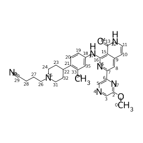 COc1cncc(-c2cc3cc[nH]c(=O)c3c(Nc3ccc(C4CCN(CCCC#N)CC4)c(C)c3)n2)n1